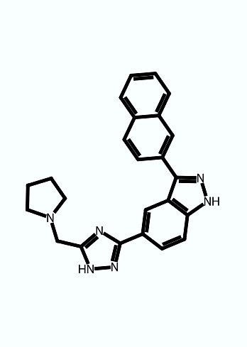 c1ccc2cc(-c3n[nH]c4ccc(-c5n[nH]c(CN6CCCC6)n5)cc34)ccc2c1